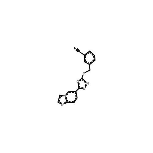 N#Cc1cccc(CSc2nnc(-c3ccc4nccn4c3)o2)c1